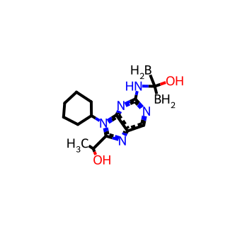 BC(B)(O)Nc1ncc2nc(C(C)O)n(C3CCCCC3)c2n1